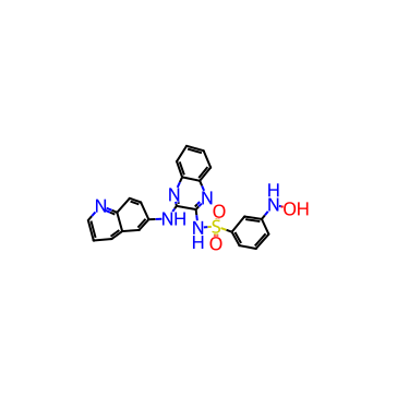 O=S(=O)(Nc1nc2ccccc2nc1Nc1ccc2ncccc2c1)c1cccc(NO)c1